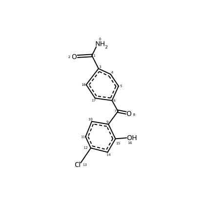 NC(=O)c1ccc(C(=O)c2ccc(Cl)cc2O)cc1